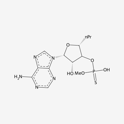 CCC[C@H]1O[C@@H](n2cnc3c(N)ncnc32)[C@@H](O)C1OP(O)(=S)OC